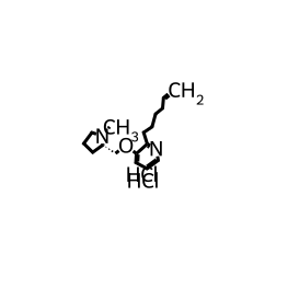 C=CCCCCc1ncccc1OC[C@@H]1CCCN1C.Cl.Cl